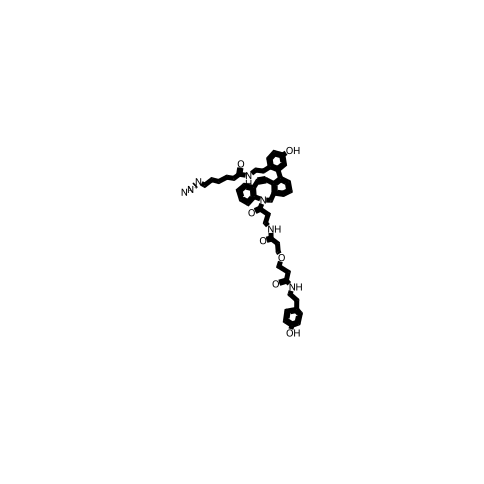 [N-]=[N+]=NCCCCCC(=O)NCCc1ccc(O)cc1-c1cccc2c1C#Cc1ccccc1N(C(=O)CCNC(=O)CCOCCC(=O)NCCc1ccc(O)cc1)C2